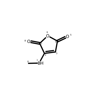 CBC1=CC(=O)OC1=O